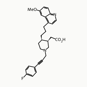 COc1ccc2nccc(CCC[C@@H]3CCN(CC#Cc4ccc(F)cc4)C[C@@H]3CC(=O)O)c2c1